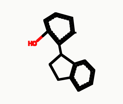 Oc1ccc[c]c1C1CCc2ccccc21